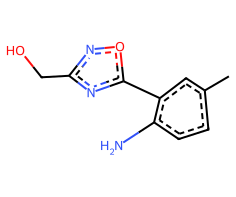 Cc1ccc(N)c(-c2nc(CO)no2)c1